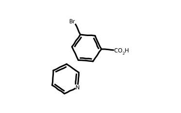 O=C(O)c1cccc(Br)c1.c1ccncc1